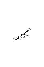 C=CCCCCCCO.COC